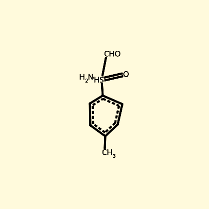 Cc1ccc([SH](N)(=O)C=O)cc1